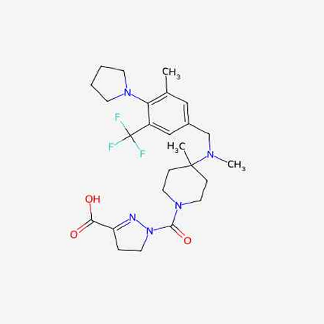 Cc1cc(CN(C)C2(C)CCN(C(=O)N3CCC(C(=O)O)=N3)CC2)cc(C(F)(F)F)c1N1CCCC1